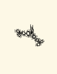 O=[PH](c1ccc(-c2ccc(-n3c4ccccc4c4ccccc43)cc2)cc1)c1ccc(-c2ccc(-n3c4ccccc4c4ccccc43)cc2)cc1